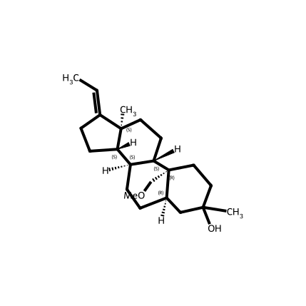 CC=C1CC[C@H]2[C@@H]3CC[C@@H]4CC(C)(O)CC[C@]4(COC)[C@H]3CC[C@]12C